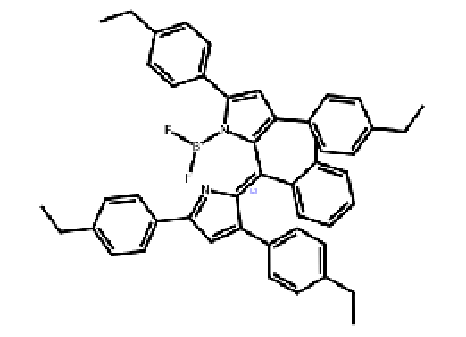 CCc1ccc(C2=CC(c3ccc(CC)cc3)=N/C2=C(/c2ccccc2C)c2c(-c3ccc(CC)cc3)cc(-c3ccc(CC)cc3)n2B(F)F)cc1